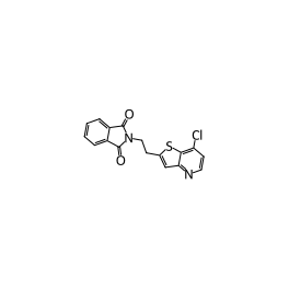 O=C1c2ccccc2C(=O)N1CCc1cc2nccc(Cl)c2s1